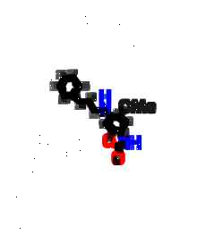 COc1cc2[nH]c(=O)oc2cc1NCCCc1ccccc1